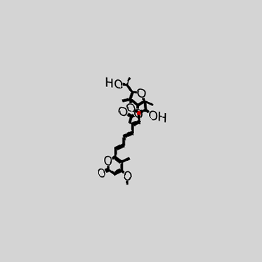 COc1cc(=O)oc(/C=C/C=C/C=C/C2OC3(C)C([C@H](C)O)OC(C)(C2O)C3OC(C)=O)c1C